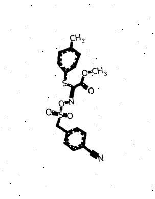 COC(=O)/C(=N/OS(=O)(=O)Cc1ccc(C#N)cc1)Sc1ccc(C)cc1